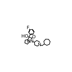 O=C(NC1CCN(CC2CCCCCC2)CC1)C(O)(c1cccc(F)c1)C1CCCC1